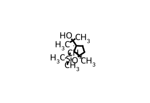 CC1(O[Si](C)(C)C)CC[C](C(C)(C)O)C1